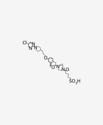 O=C(CCCCS(=O)(=O)O)N1CCN(C(=O)Cc2ccc(OCCCC3CCN(c4ncc(Cl)cn4)CC3)cc2F)C2CC21